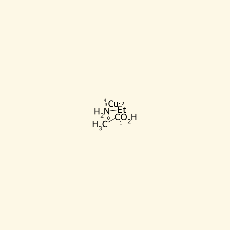 CC(=O)O.CCN.[Cu]